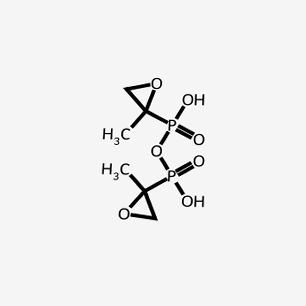 CC1(P(=O)(O)OP(=O)(O)C2(C)CO2)CO1